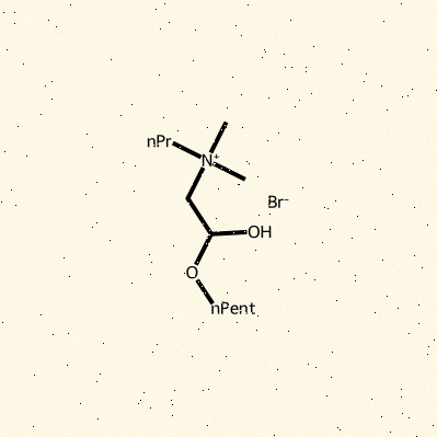 CCCCCOC(O)C[N+](C)(C)CCC.[Br-]